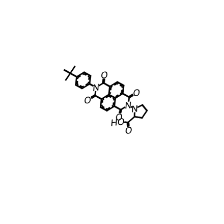 CC(C)(C)c1ccc(N2C(=O)c3ccc4c5c(ccc(c35)C2=O)C(=O)N(N2CCCC2C(=O)O)C4=O)cc1